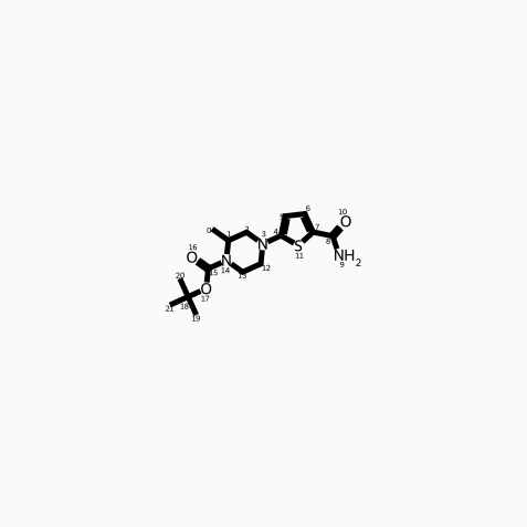 CC1CN(c2ccc(C(N)=O)s2)CCN1C(=O)OC(C)(C)C